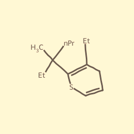 CCCC(C)(CC)C1=C(CC)CC=CS1